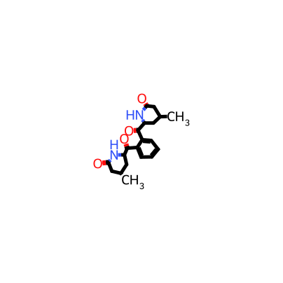 CC1CC(=O)NC(C(=O)c2ccccc2C(=O)C2CC(C)CC(=O)N2)C1